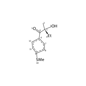 CC[C@@](C)(O)C(=O)c1ccc(SC)cc1